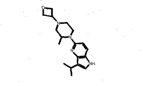 CC(C)c1c[nH]c2ccc(N3CCN(C4COC4)CC3C)nc12